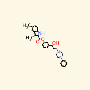 Cc1ccc2[nH]c(C(=O)Oc3cccc(C(O)CCN4CCN(c5ccccc5)CC4)c3)c(C)c2c1